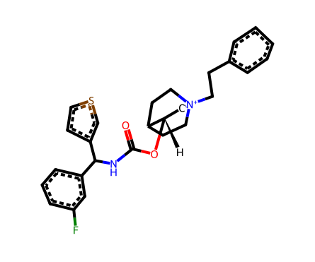 O=C(NC(c1ccsc1)c1cccc(F)c1)O[C@H]1C[N+]2(CCc3ccccc3)CCC1CC2